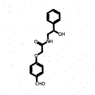 O=Cc1ccc(OCC(=O)NCC(O)c2ccccc2)cc1